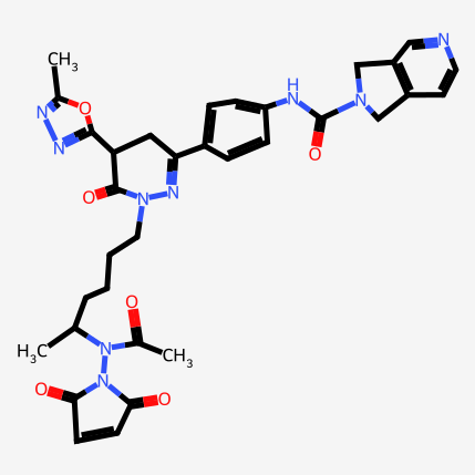 CC(=O)N(C(C)CCCCN1N=C(c2ccc(NC(=O)N3Cc4ccncc4C3)cc2)CC(c2nnc(C)o2)C1=O)N1C(=O)C=CC1=O